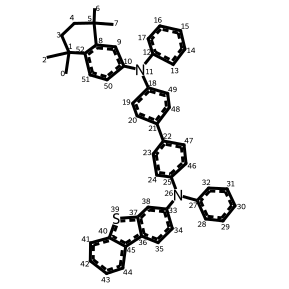 CC1(C)CCC(C)(C)c2cc(N(c3ccccc3)c3ccc(-c4ccc(N(c5ccccc5)c5ccc6c(c5)sc5ccccc56)cc4)cc3)ccc21